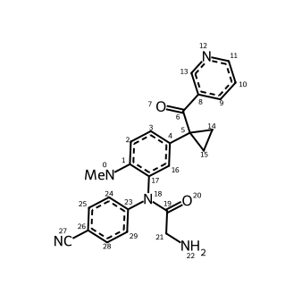 CNc1ccc(C2(C(=O)c3cccnc3)CC2)cc1N(C(=O)CN)c1ccc(C#N)cc1